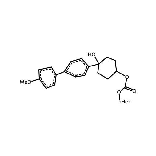 CCCCCCOC(=O)OC1CCC(O)(c2ccc(-c3ccc(OC)cc3)cc2)CC1